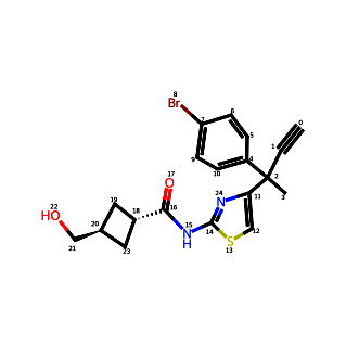 C#CC(C)(c1ccc(Br)cc1)c1csc(NC(=O)[C@H]2C[C@H](CO)C2)n1